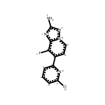 Nc1nc2c(F)c(-c3cccc(Cl)n3)ccn2n1